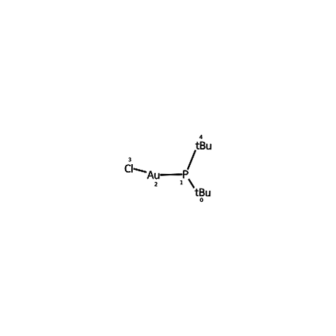 CC(C)(C)[P]([Au][Cl])C(C)(C)C